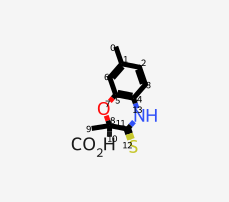 Cc1ccc2c(c1)OC(C)(C(=O)O)C(=S)N2